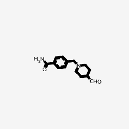 NC(=O)c1ccc(CN2CCC(C=O)CC2)cc1